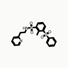 Cc1c(S(=O)(=O)NCCc2ccccn2)cccc1S(=O)(=O)c1ccccc1